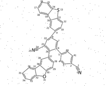 N#Cc1ccc(-c2cc(-c3ccc4sc5ccccc5c4c3)cc(C#N)c2-c2ccc3oc4ccccc4c3c2)cc1